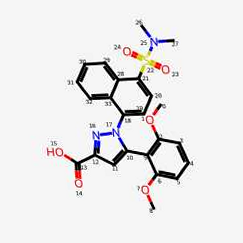 COc1cccc(OC)c1-c1cc(C(=O)O)nn1-c1ccc(S(=O)(=O)N(C)C)c2ccccc12